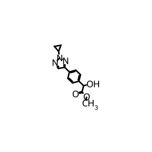 COC(=O)C(O)c1ccc(-c2cnn(C3CC3)n2)cc1